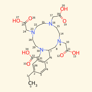 CCc1ccc(CC2CN(CC(=O)O)CCN(CC(=O)O)CCN(CC(=O)O)CCN2CC(=O)O)cc1